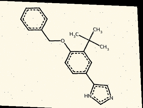 CC(C)(C)c1cc(-c2cnc[nH]2)ccc1OCc1ccccc1